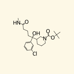 CNC(=O)CCC[C@@](O)(c1cccc(Cl)c1)C1CCCN(C(=O)OC(C)(C)C)C1